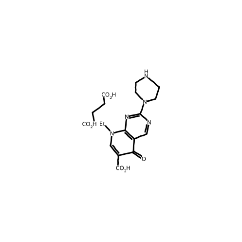 CCn1cc(C(=O)O)c(=O)c2cnc(N3CCNCC3)nc21.O=C(O)CCC(=O)O